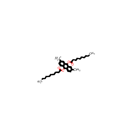 CCCCCCCCCC(=O)Oc1c2ccc(C)cc2c(OC(=O)CCCCCCCCC)c2cc(C)ccc12